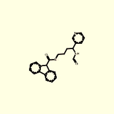 O=CNC(CCCNC(=O)C1c2ccccc2-c2ccccc21)c1cccnc1